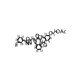 CC(=O)OCCOc1ccc(C(=O)N2CC(=O)N(Cc3nnc(-c4cccc(F)c4)o3)Cc3ccccc32)c(Cl)c1